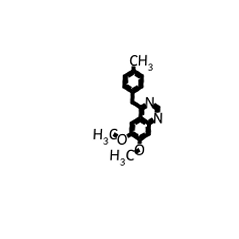 COc1cc2ncnc(Cc3ccc(C)cc3)c2cc1OC